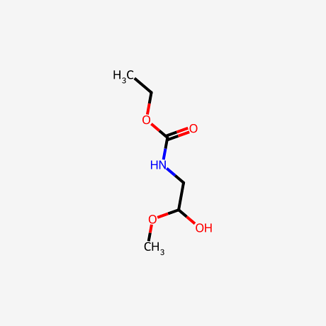 CCOC(=O)NCC(O)OC